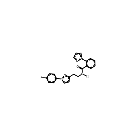 CCN(CCc1ccn(-c2ccc(F)cc2)n1)C(=O)c1ccccc1-n1nccn1